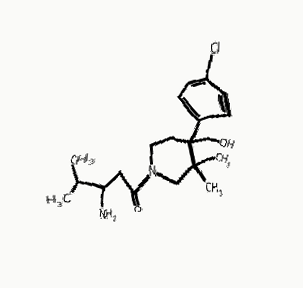 CC(C)C(N)CC(=O)N1CCC(O)(c2ccc(Cl)cc2)C(C)(C)C1